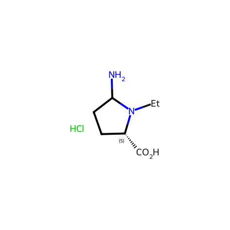 CCN1C(N)CC[C@H]1C(=O)O.Cl